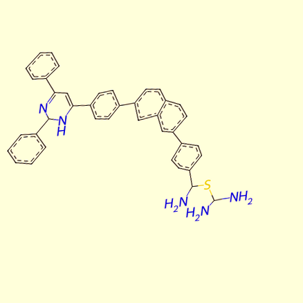 NC(N)SC(N)c1ccc(-c2ccc3ccc(-c4ccc(C5=CC(c6ccccc6)=NC(c6ccccc6)N5)cc4)cc3c2)cc1